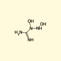 N=C(N)N(O)NO